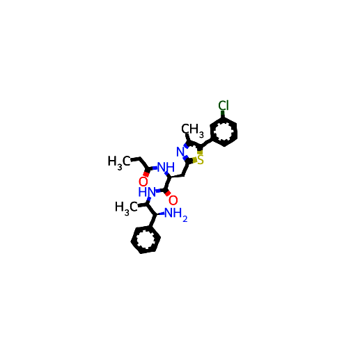 CCC(=O)N[C@@H](Cc1nc(C)c(-c2cccc(Cl)c2)s1)C(=O)NC(C)[C@@H](N)c1ccccc1